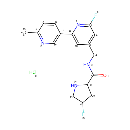 Cl.O=C(NCc1cc(F)nc(-c2ccc(C(F)(F)F)nc2)c1)C1CC(F)CN1